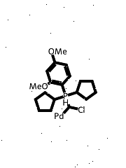 COc1ccc([PH]([CH](Cl)[Pd])(C2CCCC2)C2CCCC2)c(OC)c1